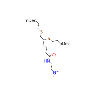 CCCCCCCCCCCCSCC(CCCC(=O)NCCN(C)C)SCCCCCCCCCCCC